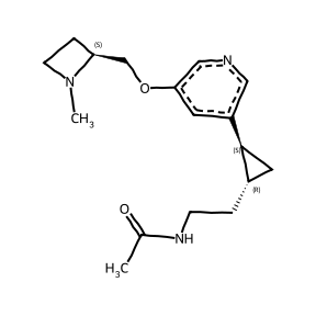 CC(=O)NCC[C@H]1C[C@@H]1c1cncc(OC[C@@H]2CCN2C)c1